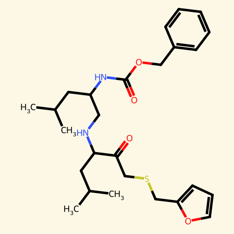 CC(C)CC(CNC(CC(C)C)C(=O)CSCc1ccco1)NC(=O)OCc1ccccc1